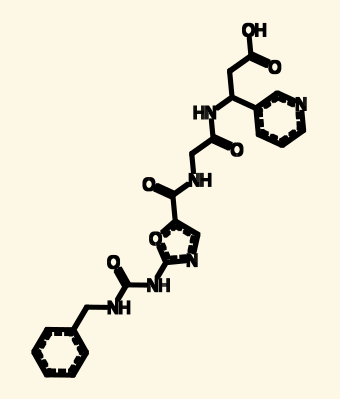 O=C(O)CC(NC(=O)CNC(=O)c1cnc(NC(=O)NCc2ccccc2)o1)c1cccnc1